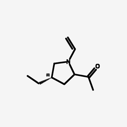 C=CN1C[C@@H](CC)CC1C(C)=O